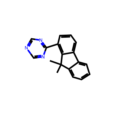 CC1(C)c2ccccc2-c2cccc(-c3ncncn3)c21